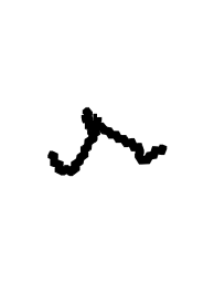 C=C(CC)N1CC(CCCCCCCCCC/C=C\C/C=C\CCCCC)(CSCCCCCCCC/C=C\C/C=C\CCCC)C1